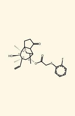 C=C[C@]1(C)C[C@@H](OC(=O)CSc2ccccc2F)C2C(C)CCC3(CCC(=O)C23)[C@@H](C)[C@@H]1O